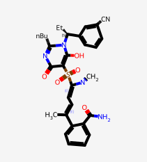 C=N/C(=C\C=C(/C)c1ccccc1C(N)=O)S(=O)(=O)c1c(O)n([C@@H](CC)c2cccc(C#N)c2)c(CCCC)nc1=O